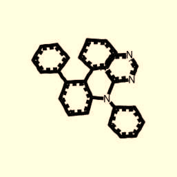 c1ccc(-c2cccc(N(c3ccccc3)c3ncncn3)c2-c2ccccc2)cc1